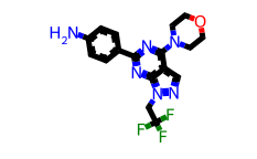 Nc1ccc(-c2nc(N3CCOCC3)c3cnn(CC(F)(F)F)c3n2)cc1